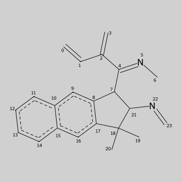 C=CC(=C)/C(=N/C)C1c2cc3ccccc3cc2C(C)(C)C1N=C